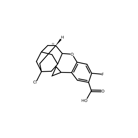 O=C(O)c1cc(C2CC2)c(OC2C3CC4C[C@H]2CC(Cl)(C4)C3)cc1F